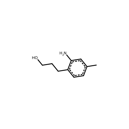 Cc1ccc(CCCO)c(N)c1